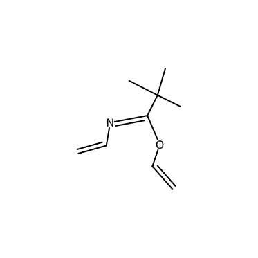 C=C/N=C(\OC=C)C(C)(C)C